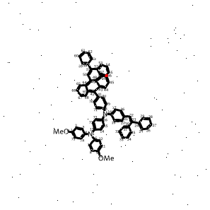 COc1ccc(N(c2ccc(OC)cc2)c2ccc(N(c3ccc(C=C(c4ccccc4)c4ccccc4)cc3)c3ccc(-c4c5ccccc5c(C=C(c5ccccc5)c5ccccc5)c5ccccc45)cc3)cc2)cc1